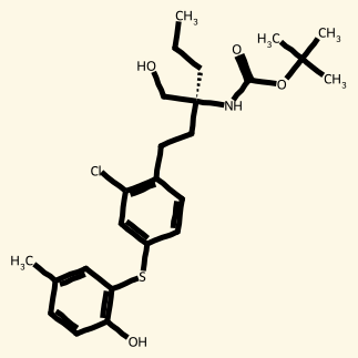 CCC[C@@](CO)(CCc1ccc(Sc2cc(C)ccc2O)cc1Cl)NC(=O)OC(C)(C)C